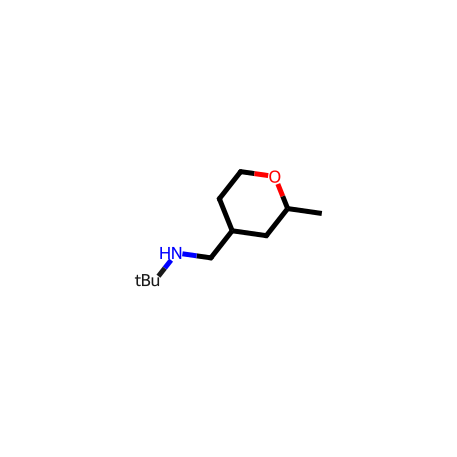 CC1CC(CNC(C)(C)C)CCO1